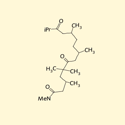 CNC(=O)CC(C)CC(C)(C)C(=O)CC(C)CCC(C)CC(=O)C(C)C